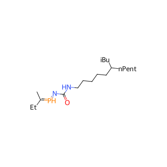 CCCCCC(CCCCCNC(=O)N=[PH]=C(C)CC)C(C)CC